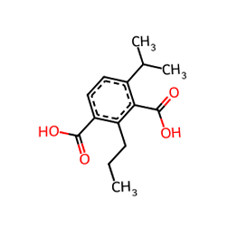 CCCc1c(C(=O)O)ccc(C(C)C)c1C(=O)O